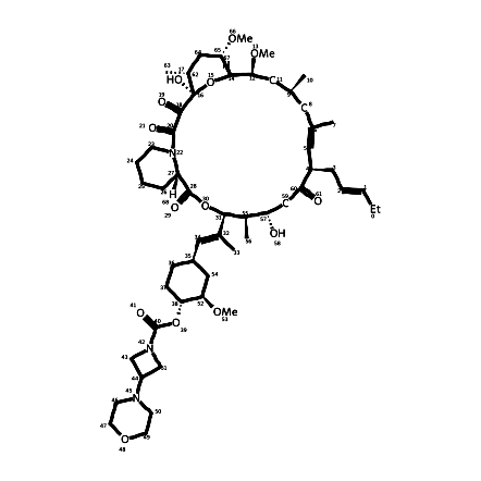 CC/C=C/C[C@@H]1/C=C(\C)C[C@H](C)C[C@H](OC)[C@H]2O[C@@](O)(C(=O)C(=O)N3CCCC[C@H]3C(=O)O[C@H](/C(C)=C/[C@@H]3CC[C@@H](OC(=O)N4CC(N5CCOCC5)C4)[C@H](OC)C3)[C@H](C)[C@@H](O)CC1=O)[C@H](C)C[C@@H]2OC